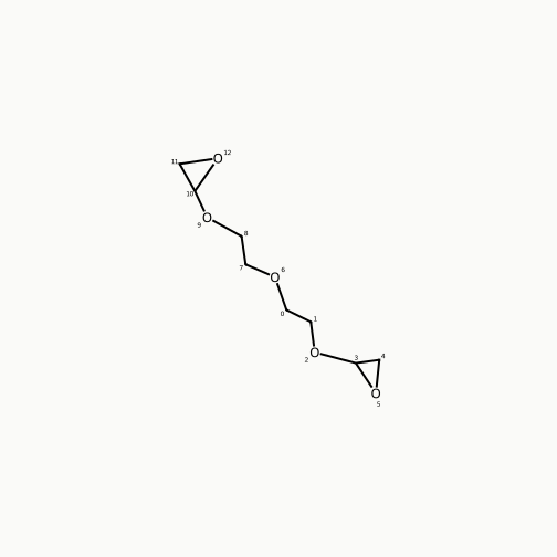 C(COC1CO1)OCCOC1CO1